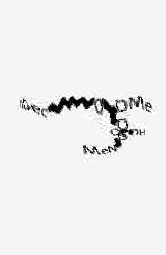 CCCCCCCCCCCCCCCCCCCOCC(COP(=O)(O)OCCNC)OC